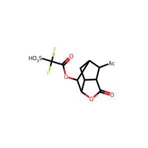 CC(=O)C1C2CC3C(OC(=O)C31)C2OC(=O)C(F)(F)S(=O)(=O)O